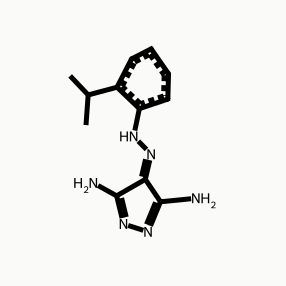 CC(C)c1ccccc1NN=C1C(N)=NN=C1N